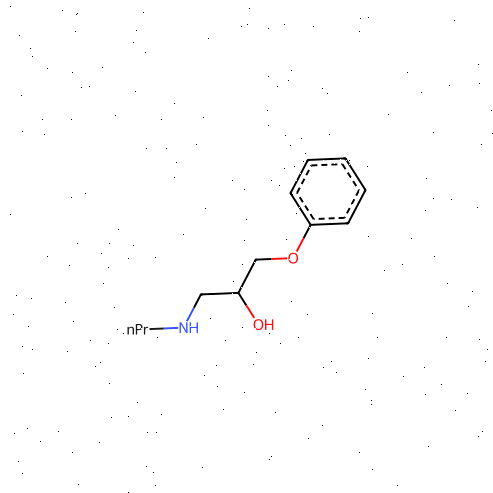 CCCNCC(O)COc1ccccc1